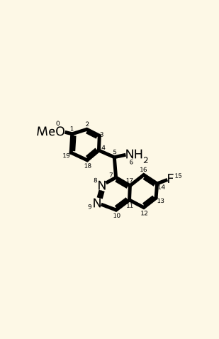 COc1ccc(C(N)c2nncc3ccc(F)cc23)cc1